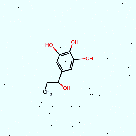 CCC(O)c1cc(O)c(O)c(O)c1